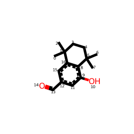 CC1(C)CCC(C)(C)c2c(O)cc(C=O)cc21